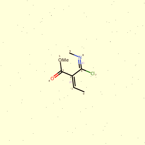 C/C=C(C(=O)OC)\C(Cl)=N/C